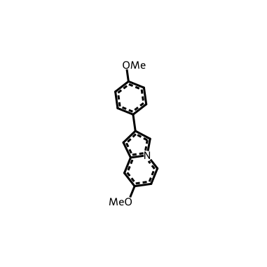 COc1ccc(-c2cc3cc(OC)ccn3c2)cc1